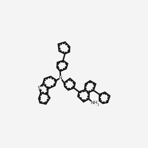 Nc1ccc(-c2ccc(N(c3ccc(-c4ccccc4)cc3)c3ccc4sc5ccccc5c4c3)cc2)c2cccc(-c3ccccc3)c12